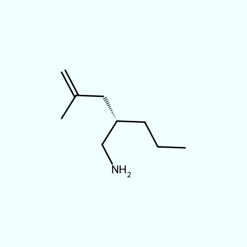 C=C(C)C[C@@H](CN)CCC